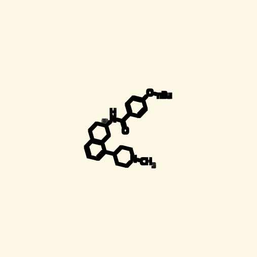 CCCCOc1ccc(C(=O)N[C@@H]2CCc3cccc(C4CCN(C)CC4)c3C2)cc1